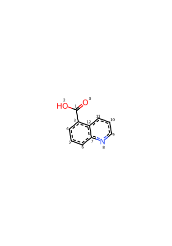 O=C(O)c1cccc2ncccc12